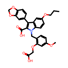 CCCOc1ccc2c(c1)c(-c1ccc3c(c1)OCO3)c(C(=O)O)n2Cc1ccc(OC)cc1OCC(=O)O